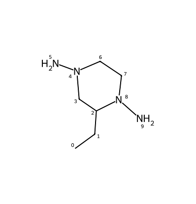 CCC1CN(N)CCN1N